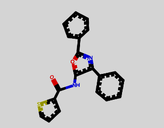 O=C(Nc1oc(-c2ccccc2)nc1-c1ccccc1)c1cccs1